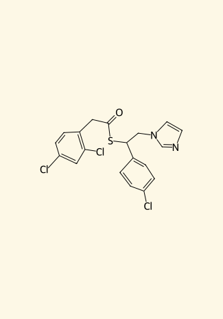 O=C(Cc1ccc(Cl)cc1Cl)SC(Cn1ccnc1)c1ccc(Cl)cc1